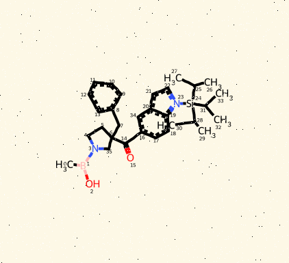 CB(O)N1CCC(Cc2ccccc2)(C(=O)c2ccc3c(ccn3[Si](C(C)C)(C(C)C)C(C)C)c2)C1